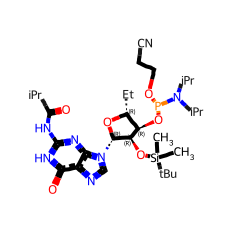 CC[C@H]1O[C@@H](n2cnc3c(=O)[nH]c(NC(=O)C(C)C)nc32)[C@H](O[Si](C)(C)C(C)(C)C)[C@@H]1OP(OCCC#N)N(C(C)C)C(C)C